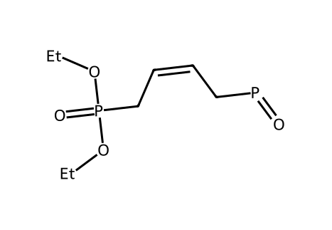 CCOP(=O)(C/C=C\CP=O)OCC